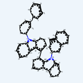 c1ccc(-c2cccc(-n3c4ccccc4c4c(-c5cccc6c7ccccc7n(-c7ccc8ccccc8c7)c56)cccc43)c2)cc1